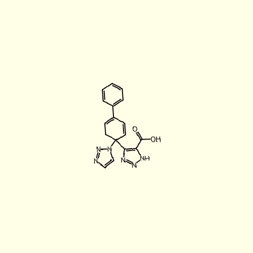 O=C(O)c1[nH]nnc1C1(n2ccnn2)C=CC(c2ccccc2)=CC1